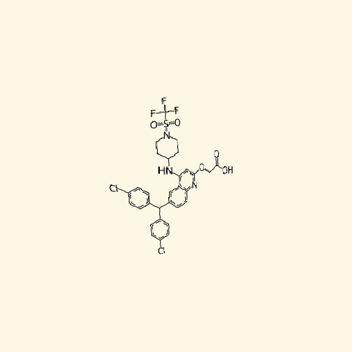 O=C(O)COc1cc(NC2CCN(S(=O)(=O)C(F)(F)F)CC2)c2cc(C(c3ccc(Cl)cc3)c3ccc(Cl)cc3)ccc2n1